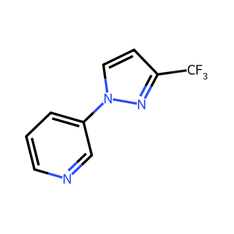 FC(F)(F)c1ccn(-c2cccnc2)n1